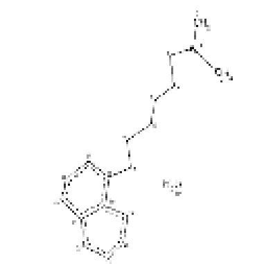 CN(C)CCCCCCc1cccc2ccccc12.O